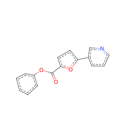 O=C(Oc1ccccc1)c1ccc(-c2cccnc2)o1